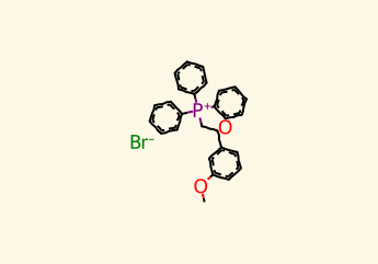 COc1cccc(C(=O)C[P+](c2ccccc2)(c2ccccc2)c2ccccc2)c1.[Br-]